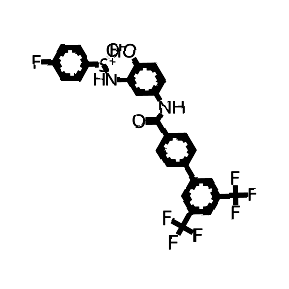 O=C(Nc1ccc(O)c(N[S+]([O-])c2ccc(F)cc2)c1)c1ccc(-c2cc(C(F)(F)F)cc(C(F)(F)F)c2)cc1